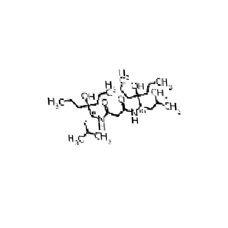 CCCC(O)(CCC)[C@@H](CC(C)C)NC(=O)CC(=O)N[C@H](CC(C)C)C(O)(CCC)CCC